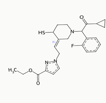 CCOC(=O)c1ccn(C/C=C2\CN(C(C(=O)C3CC3)c3ccccc3F)CCC2S)n1